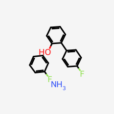 Fc1ccccc1.N.Oc1ccccc1-c1ccc(F)cc1